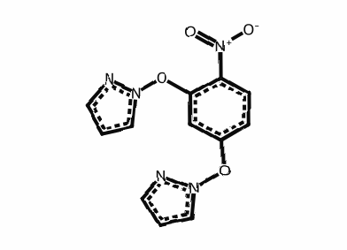 O=[N+]([O-])c1ccc(On2cccn2)cc1On1cccn1